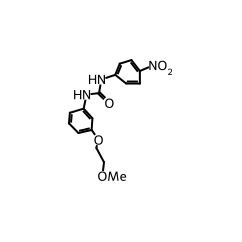 COCCOc1cccc(NC(=O)Nc2ccc([N+](=O)[O-])cc2)c1